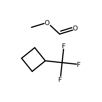 COC=O.FC(F)(F)C1CCC1